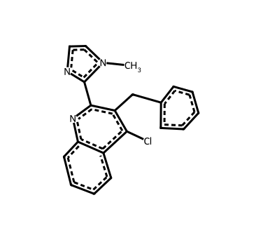 Cn1ccnc1-c1nc2ccccc2c(Cl)c1Cc1ccccc1